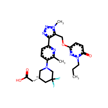 CCCn1nc(OCc2c(-c3ccc(N4C[C@@H](CC(=O)O)CC(F)(F)C4)c(C)n3)nnn2C)ccc1=O